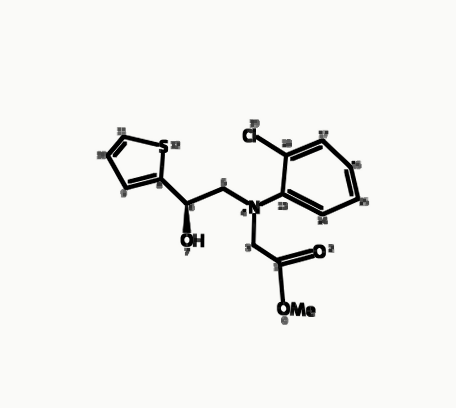 COC(=O)CN(C[C@@H](O)c1cccs1)c1ccccc1Cl